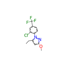 CCc1cc(OC)nn1-c1ccc(C(F)(F)F)cc1Cl